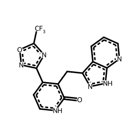 O=c1[nH]ccc(-c2noc(C(F)(F)F)n2)c1Cc1n[nH]c2ncccc12